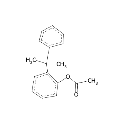 CC(=O)Oc1ccccc1C(C)(C)c1ccccc1